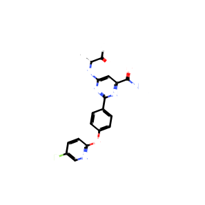 CC(=O)[C@H](C)Nc1cc(C(N)=O)nc(-c2ccc(Oc3ccc(F)cn3)cc2)n1